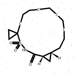 O=C1NS(=O)(=O)C2(CCCCCCCCCC[C@@H]3C[C@H]13)CC2